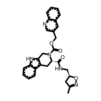 CC1=NO[C@H](CNC(=O)[C@@H]2Cc3c([nH]c4ccccc34)CN2C(=O)OCc2cnc3ccccc3c2)C1